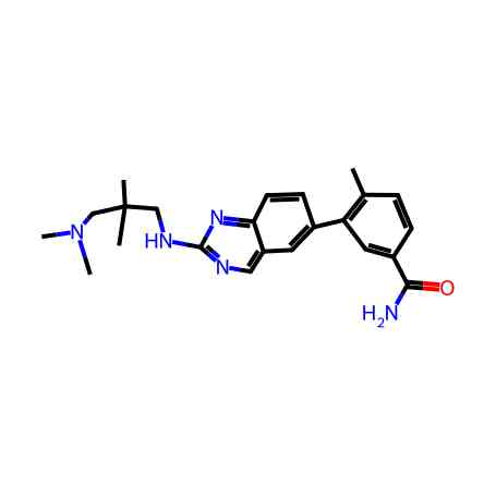 Cc1ccc(C(N)=O)cc1-c1ccc2nc(NCC(C)(C)CN(C)C)ncc2c1